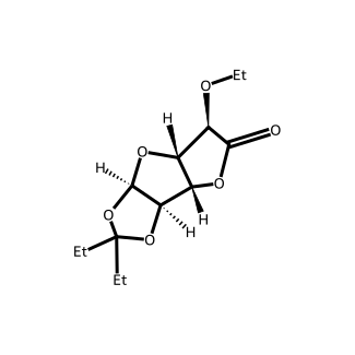 CCO[C@H]1C(=O)O[C@@H]2[C@H]3OC(CC)(CC)O[C@H]3O[C@@H]21